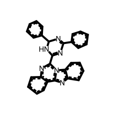 c1ccc(C2=NC(c3ccccc3)NC(c3nc4ccccc4c4nc5ccccc5n34)=N2)cc1